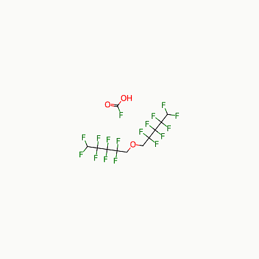 FC(F)C(F)(F)C(F)(F)C(F)(F)COCC(F)(F)C(F)(F)C(F)(F)C(F)F.O=C(O)F